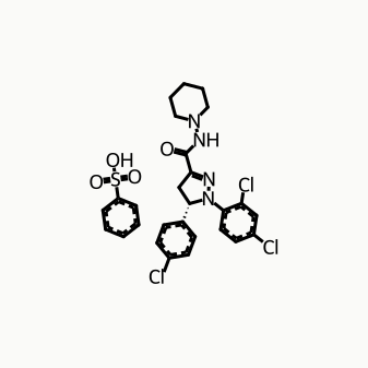 O=C(NN1CCCCC1)C1=NN(c2ccc(Cl)cc2Cl)[C@H](c2ccc(Cl)cc2)C1.O=S(=O)(O)c1ccccc1